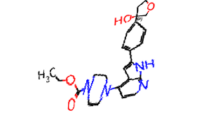 CCOC(=O)N1CCN(c2ccnc3[nH]c(-c4ccc([C@]5(O)CCOC5)cc4)cc23)CC1